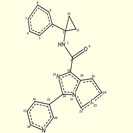 O=C(NC1(c2ccccc2)CC1)c1nc(-c2cccnc2)n2ccccc12